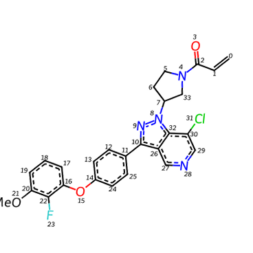 C=CC(=O)N1CCC(n2nc(-c3ccc(Oc4cccc(OC)c4F)cc3)c3cncc(Cl)c32)C1